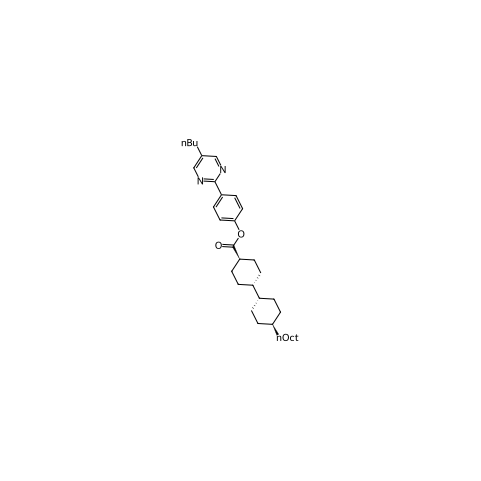 CCCCCCCC[C@H]1CC[C@H]([C@H]2CC[C@H](C(=O)Oc3ccc(-c4ncc(CCCC)cn4)cc3)CC2)CC1